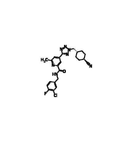 Cc1cc(-c2nnn(C[C@H]3CC[C@H](C#N)CC3)n2)cc(C(=O)NCc2ccc(F)c(Cl)c2)n1